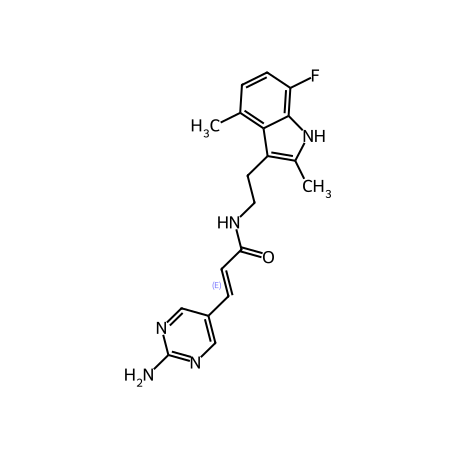 Cc1[nH]c2c(F)ccc(C)c2c1CCNC(=O)/C=C/c1cnc(N)nc1